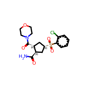 NC(=O)[C@@H]1C[C@@H](S(=O)(=O)c2ccccc2Cl)C[C@H]1C(=O)N1CCOCC1